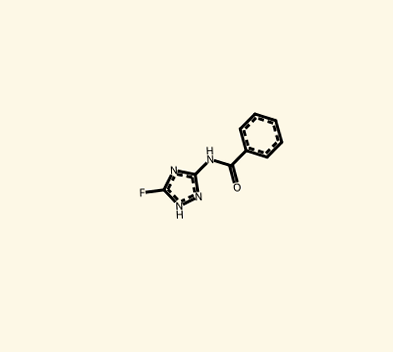 O=C(Nc1n[nH]c(F)n1)c1ccccc1